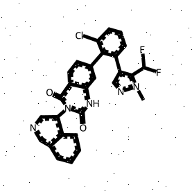 Cn1ncc(-c2cccc(Cl)c2-c2ccc3c(=O)n(-c4cncc5ccccc45)c(=O)[nH]c3c2)c1C(F)F